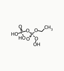 CCOP(=O)(OO)OP(=O)(O)O